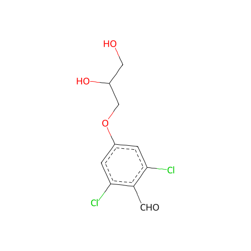 O=Cc1c(Cl)cc(OCC(O)CO)cc1Cl